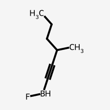 CCCC(C)C#CBF